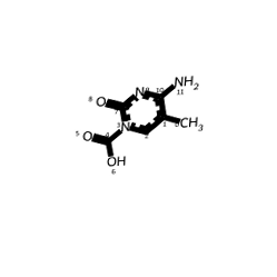 Cc1cn(C(=O)O)c(=O)nc1N